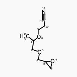 CC(COCC1CO1)OCCC#N